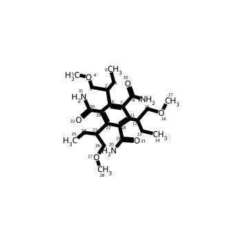 CCC(COC)c1c(C(N)=O)c(C(CC)COC)c(C(N)=O)c(C(CC)COC)c1C(N)=O